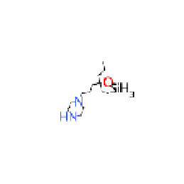 CCCC(CC)(CCCN1CCNCC1)O[SiH3]